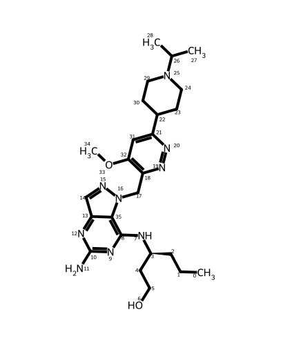 CCC[C@@H](CCO)Nc1nc(N)nc2cnn(Cc3nnc(C4CCN(C(C)C)CC4)cc3OC)c12